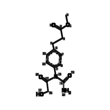 COC(=O)CCc1ccc(N(C(N)=O)C(=O)CO)cc1